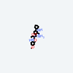 C=C(O)/C(=C\c1ccc2c([nH]c3ccccc32)c1CN)C(=O)Nc1ccc(OC)cc1C